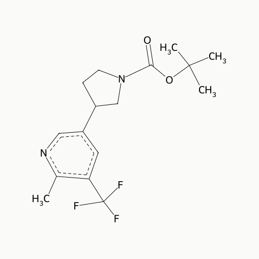 Cc1ncc(C2CCN(C(=O)OC(C)(C)C)C2)cc1C(F)(F)F